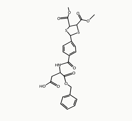 COC(=O)C1SC(c2ccc(C(=O)NC(CC(=O)O)C(=O)OCc3ccccc3)cc2)SC1C(=O)OC